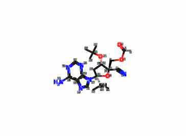 CC(=O)OC[C@@]1(C#N)O[C@](n2cnc3c(N)ncnc32)([SiH](C)C)C[C@@H]1OC(C)(C)C